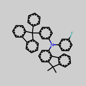 CC1(C)c2ccccc2-c2c(N(c3cccc(F)c3)c3cccc(C4(c5ccccc5)c5ccccc5-c5ccccc54)c3)cccc21